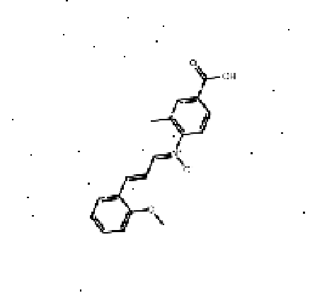 COc1ccccc1C=CC=[N+]([O-])c1ccc(C(=O)O)cc1C